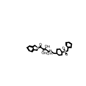 O=C(NCC1CCC(S(=O)(=O)Cc2ccccc2)CC1)[C@H](O)[C@@H](O)C(=O)N1Cc2ccccc2C1